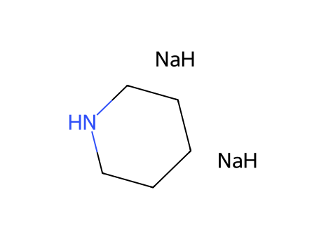 C1CCNCC1.[NaH].[NaH]